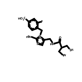 CCCCc1ncc(CNC(=O)C(CS)CC(C)C)n1Cc1ccc(C(=O)O)cc1F